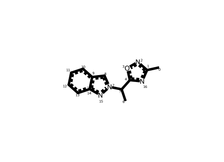 Cc1noc(C(C)n2cc3ccccc3n2)n1